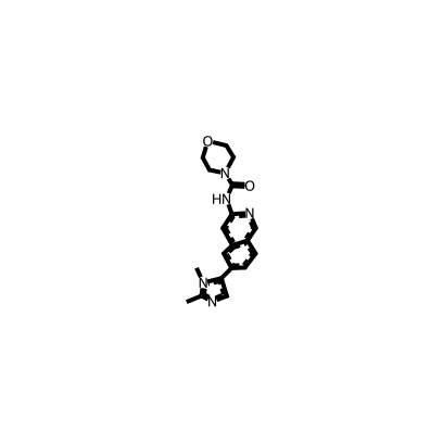 Cc1ncc(-c2ccc3cnc(NC(=O)N4CCOCC4)cc3c2)n1C